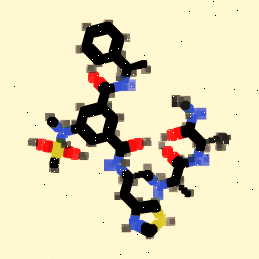 CCNC(=O)[C@@H](NC(=O)[C@H](C)NC[C@H](Cc1cscn1)NC(=O)c1cc(C(=O)N[C@H](C)c2ccccc2)cc(N(C)S(C)(=O)=O)c1)C(C)C